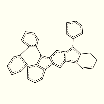 C1=Cc2c(n(-c3ccccc3)c3cc4c(cc23)c2ccccc2n4-c2ccccc2-c2ccccc2)CC1